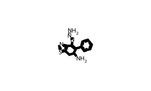 NN=NC1=C(c2ccccc2)C(N)Cc2scnc21